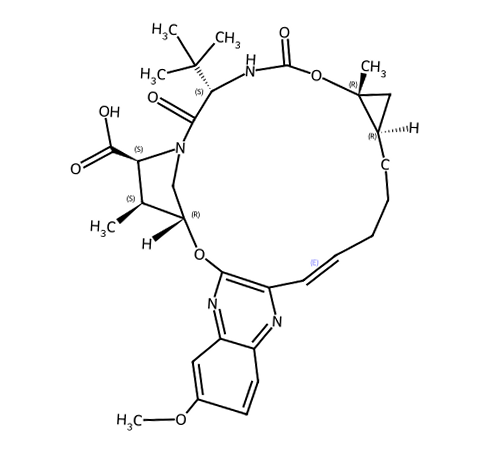 COc1ccc2nc3c(nc2c1)O[C@H]1CN(C(=O)[C@H](C(C)(C)C)NC(=O)O[C@]2(C)C[C@H]2CCC/C=C/3)[C@H](C(=O)O)[C@@H]1C